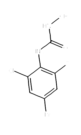 CNC(=O)Nc1c(F)cc(Br)cc1Cl